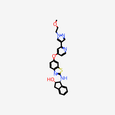 COCCn1cc(-c2cc(Oc3ccc4nc(N[C@@H]5c6ccccc6C[C@@H]5O)sc4c3)ccn2)cn1